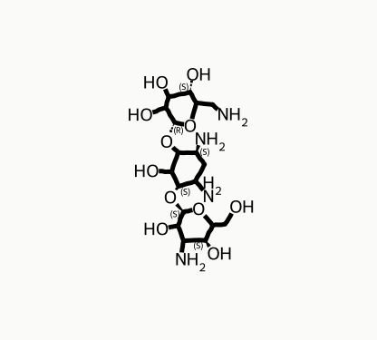 NCC1O[C@H](OC2C(O)[C@@H](O[C@H]3OC(CO)[C@@H](O)C(N)C3O)C(N)C[C@@H]2N)C(O)C(O)[C@@H]1O